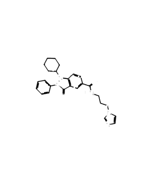 O=C(NCCCn1ccnc1)c1ccc2c(c1)c(=O)n(-c1ccccc1)n2C1CCCCC1